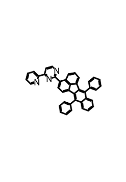 c1ccc(-c2c3c(c(-c4ccccc4)c4ccccc24)-c2ccc(-c4nccc(-c5ccccn5)n4)c4cccc-3c24)cc1